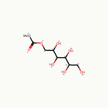 COC(=O)OCC(O)C(O)C(O)C(O)CO